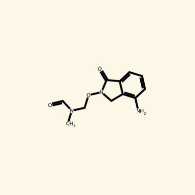 CN(C=O)CON1Cc2c(N)cccc2C1=O